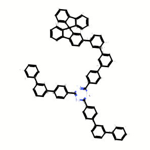 c1ccc(-c2cccc(-c3ccc(-c4nc(-c5ccc(-c6cccc(-c7ccccc7)c6)cc5)nc(-c5ccc(-c6cccc(-c7cccc(-c8ccc9c(c8)C8(c%10ccccc%10-c%10ccccc%108)c8ccccc8-9)c7)c6)cc5)n4)cc3)c2)cc1